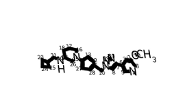 COc1cncc(-c2cn(Cc3ccc(N4CCC[C@@H](NCC5CCC5)C4)cc3)nn2)c1